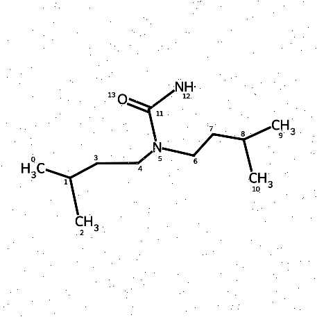 CC(C)CCN(CCC(C)C)C([NH])=O